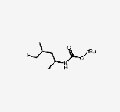 CC(CI)C[C@H](C)NC(=O)OC(C)(C)C